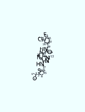 CC(=O)c1ccc(CNc2nn(C)c3c(C(=O)NCc4ccc(F)c(Cl)c4)ncnc23)s1